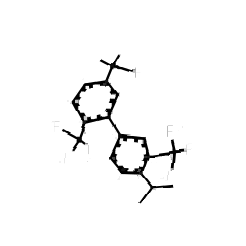 CC(C)c1ccc(-c2cc(C(F)(F)F)ccc2C(F)(F)F)cc1C(F)(F)F